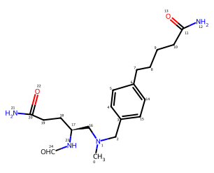 CN(Cc1ccc(CCCCC(N)=O)cc1)C[C@H](CCC(N)=O)NC=O